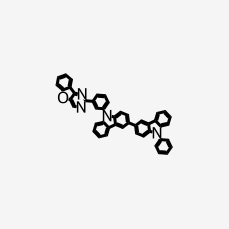 c1ccc(-n2c3ccccc3c3cc(-c4ccc5c(c4)c4ccccc4n5-c4cccc(-c5ncc6oc7ccccc7c6n5)c4)ccc32)cc1